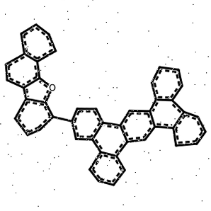 c1ccc2c(c1)ccc1c3cccc(-c4ccc5c(c4)c4ccccc4c4cc6c7ccccc7c7ccccc7c6cc54)c3oc21